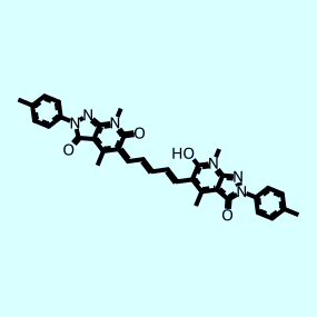 Cc1ccc(N2N=c3c(c(C)c(=CC=CC=Cc4c(C)c5c(=O)n(-c6ccc(C)cc6)nc-5n(C)c4O)c(=O)n3C)C2=O)cc1